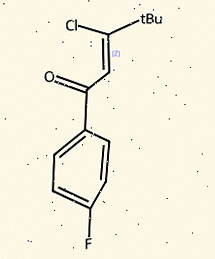 CC(C)(C)/C(Cl)=C/C(=O)c1ccc(F)cc1